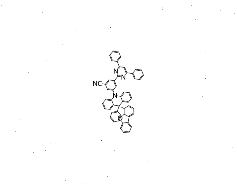 N#Cc1cc(-c2nc(-c3ccccc3)cc(-c3ccccc3)n2)cc(N2c3ccccc3C(c3ccccc3)(c3cccc4c3oc3ccccc34)c3ccccc32)c1